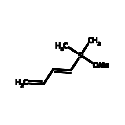 C=C/C=C/[Si](C)(C)OC